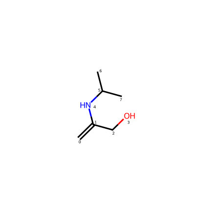 C=C(CO)NC(C)C